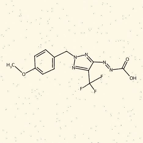 COc1ccc(Cn2nc(/N=N/C(=O)O)c(C(F)(F)F)n2)cc1